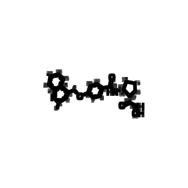 Cc1cc(COc2ccc(C(=O)N[C@@H]3CCC[C@@H]3C(=O)NO)cc2)c2ccccc2n1